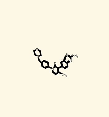 Cc1ccn(-c2ccc(CN3CCOCC3)cc2)c(=O)c1-c1ccc2nc(N)ncc2c1